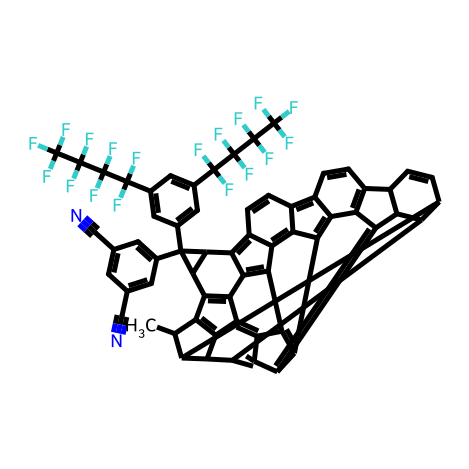 CC1c2c3c4c5c2C2C6=c7c8c9c%10c(ccc%11c%12ccc%13c(c4c4c%13c%12c(c%10%11)c8c4c75)C4C3C4(c3cc(C#N)cc(C#N)c3)c3cc(C(F)(F)C(F)(F)C(F)(F)C(F)(F)F)cc(C(F)(F)C(F)(F)C(F)(F)C(F)(F)F)c3)C3C=CC(C6C93)C12